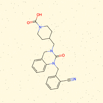 N#Cc1ccccc1CN1C(=O)N(CC2CCN(C(=O)O)CC2)Cc2ccccc21